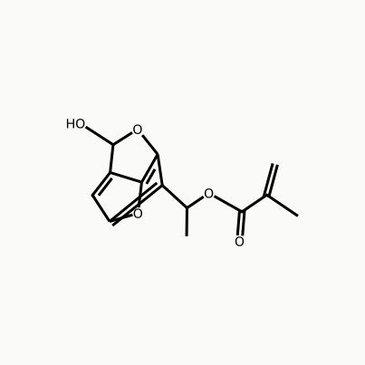 C=C(C)C(=O)OC(C)c1c2c3oc1cc3C(O)O2